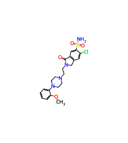 COc1ccccc1N1CCN(CCN2Cc3cc(Cl)c(S(N)(=O)=O)cc3C2=O)CC1